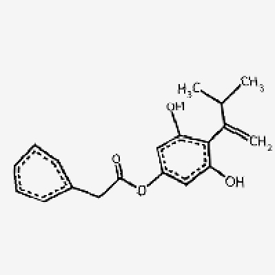 C=C(c1c(O)cc(OC(=O)Cc2ccccc2)cc1O)C(C)C